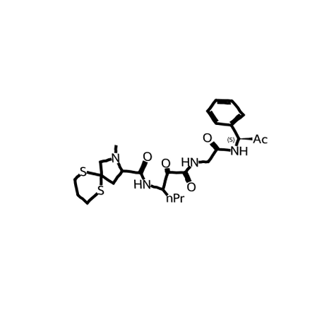 CCCC(NC(=O)C1CC2(CN1C)SCCCS2)C(=O)C(=O)NCC(=O)N[C@H](C(C)=O)c1ccccc1